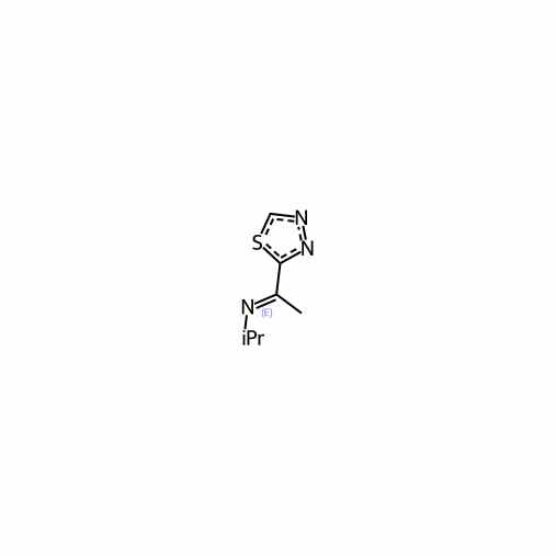 C/C(=N\C(C)C)c1nncs1